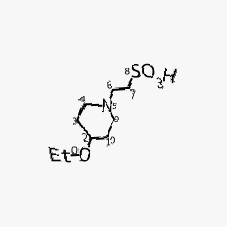 CCOC1CCN(CCS(=O)(=O)O)CC1